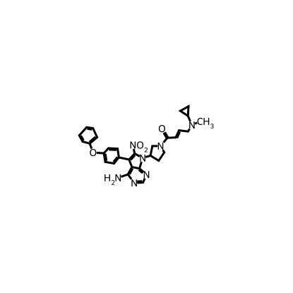 CN(CC=CC(=O)N1CCC(n2c([N+](=O)[O-])c(-c3ccc(Oc4ccccc4)cc3)c3c(N)ncnc32)C1)C1CC1